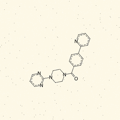 O=C(c1ccc(-c2ccccn2)cc1)N1CCN(c2ncccn2)CC1